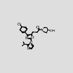 CC(C)c1nccn1-c1nc(-c2ccc(Cl)cc2)c(CCC(=O)N2CCC(O)CC2)o1